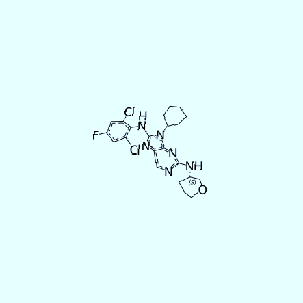 Fc1cc(Cl)c(Nc2nc3cnc(N[C@H]4CCCOC4)nc3n2C2CCCCC2)c(Cl)c1